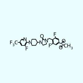 CS(=O)(=O)c1cc(F)c(CN2CCN(C3CCN(c4ncc(C(F)(F)F)cc4F)CC3)C2=O)c(F)c1